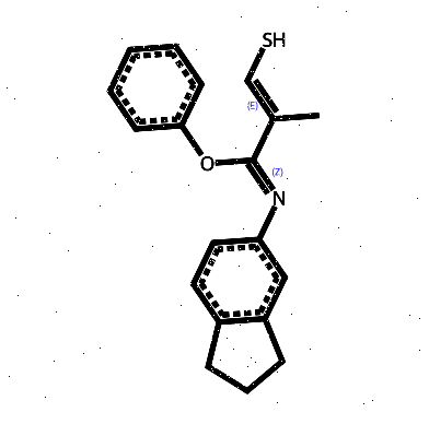 CC(=C\S)/C(=N/c1ccc2c(c1)CCC2)Oc1ccccc1